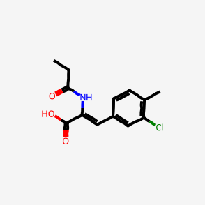 CCC(=O)NC(=Cc1ccc(C)c(Cl)c1)C(=O)O